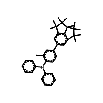 Cc1cc(-c2cc3c4c(c2)C(C)(C)C(C)(C)C4(C)C(C)(C)C3(C)C)ccc1N(c1ccccc1)c1ccccc1